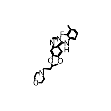 Cc1cccc(Nc2ncnc3cc4c(cc23)OCC(CCN2CCOCC2)O4)c1F